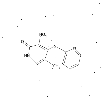 Cc1c[nH]c(=O)c([N+](=O)[O-])c1Sc1ccccn1